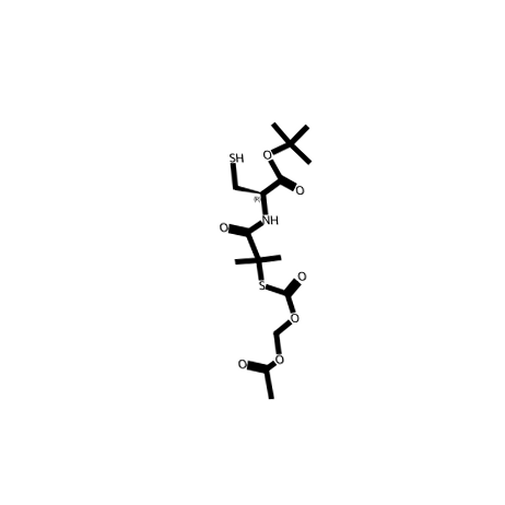 CC(=O)OCOC(=O)SC(C)(C)C(=O)N[C@@H](CS)C(=O)OC(C)(C)C